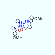 CCN(C(=O)[C@H](Cc1ccccc1)NC(=O)NSc1cccc(-c2cc3c(OC)cccc3[nH]2)c1C)c1ccc(OC)cc1